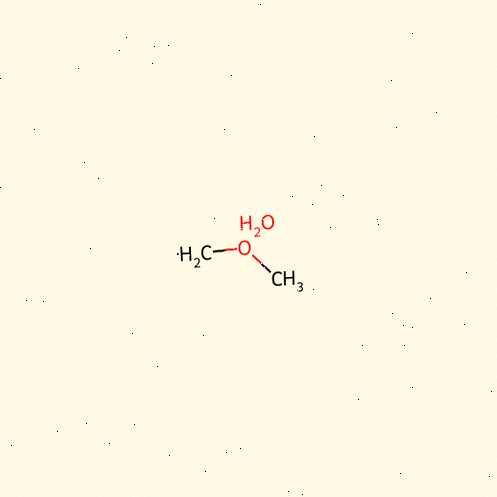 O.[CH2]OC